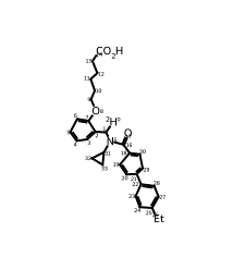 [2H]C(c1ccccc1OCCCCCC(=O)O)N(C(=O)c1ccc(-c2ccc(CC)cc2)cc1)C1CC1